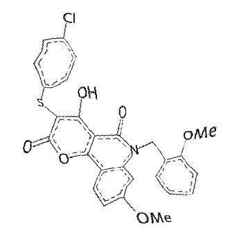 COc1ccc2c3oc(=O)c(Sc4ccc(Cl)cc4)c(O)c3c(=O)n(Cc3ccccc3OC)c2c1